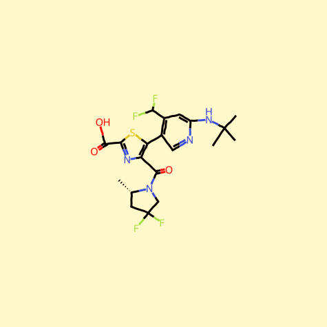 C[C@H]1CC(F)(F)CN1C(=O)c1nc(C(=O)O)sc1-c1cnc(NC(C)(C)C)cc1C(F)F